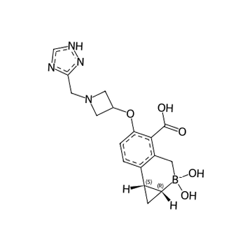 O=C(O)c1c(OC2CN(Cc3nc[nH]n3)C2)ccc2c1C[B-](O)(O)[C@@H]1C[C@H]21